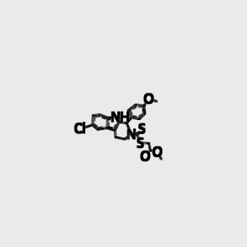 COC(=O)CSC(=S)N1CCc2c([nH]c3ccc(Cl)cc23)C1c1ccc(OC)cc1